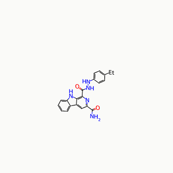 CCc1ccc(NNC(=O)c2nc(C(N)=O)cc3c2[nH]c2ccccc23)cc1